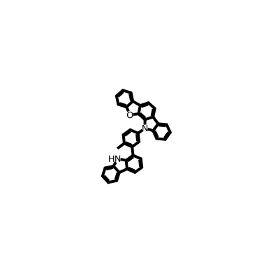 Cc1ccc(-n2c3ccccc3c3ccc4c5ccccc5oc4c32)cc1-c1cccc2c1[nH]c1ccccc12